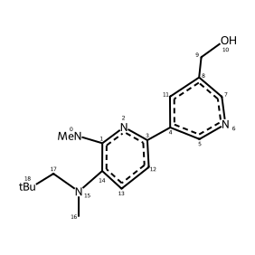 CNc1nc(-c2cncc(CO)c2)ccc1N(C)CC(C)(C)C